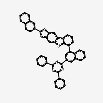 c1ccc(-c2nc(-c3ccccc3)nc(-c3cc(-c4cccc5c4oc4cc6nc(-c7ccc8ccccc8c7)sc6cc45)c4ccccc4c3)n2)cc1